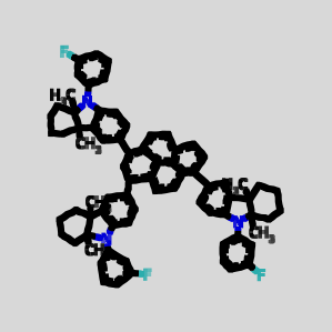 CC12CCCCC1(C)N(c1cccc(F)c1)c1ccc(-c3ccc4ccc5c(-c6ccc7c(c6)C6(C)CCCCC6(C)N7c6cccc(F)c6)cc(-c6ccc7c(c6)C6(C)CCCCC6(C)N7c6cccc(F)c6)c6ccc3c4c56)cc12